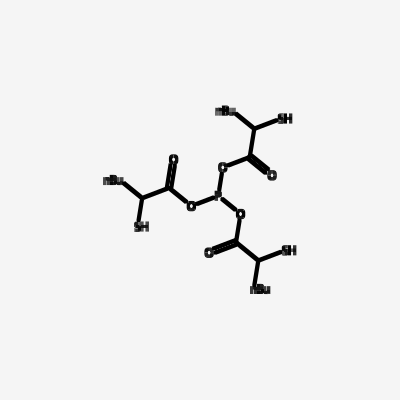 CCCCC(S)C(=O)OP(OC(=O)C(S)CCCC)OC(=O)C(S)CCCC